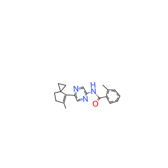 CC1=C(c2cnc(NC(=O)c3ccccc3C)cn2)C2(CC1)CC2